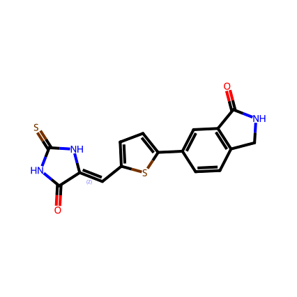 O=C1NC(=S)N/C1=C\c1ccc(-c2ccc3c(c2)C(=O)NC3)s1